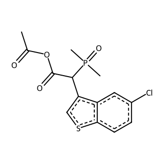 CC(=O)OC(=O)C(c1csc2ccc(Cl)cc12)P(C)(C)=O